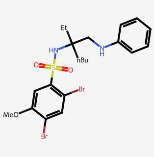 CCCCC(CC)(CNc1ccccc1)NS(=O)(=O)c1cc(OC)c(Br)cc1Br